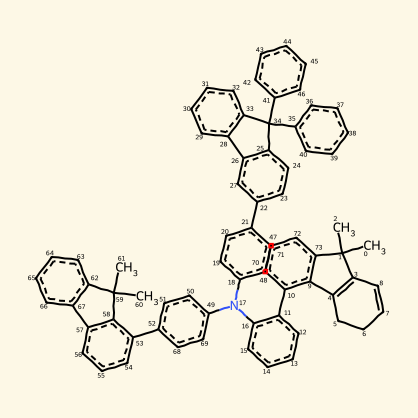 CC1(C)C2=C(CCC=C2)c2c(-c3ccccc3N(c3ccc(-c4ccc5c(c4)-c4ccccc4C5(c4ccccc4)c4ccccc4)cc3)c3ccc(-c4cccc5c4C(C)(C)c4ccccc4-5)cc3)cccc21